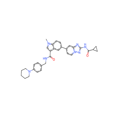 Cn1cc(C(=O)NCc2ccc(N3CCCCC3)cc2)c2cc(-c3ccn4nc(NC(=O)C5CC5)nc4c3)ccc21